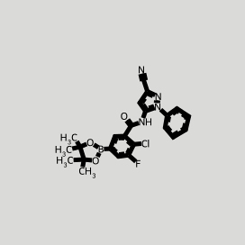 CC1(C)OB(c2cc(F)c(Cl)c(C(=O)Nc3cc(C#N)nn3-c3ccccc3)c2)OC1(C)C